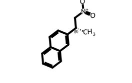 C[C@@H](C[N+](=O)[O-])c1ccc2ccccc2c1